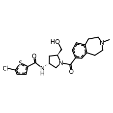 CN1CCc2ccc(C(=O)N3C[C@H](NC(=O)c4ccc(Cl)s4)C[C@H]3CO)cc2CC1